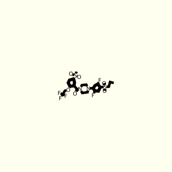 CCCS(=O)(=O)c1cc(F)c(N2CCN(C(=O)c3cc(S(C)(=O)=O)ccc3OCC(F)(F)F)CC2)cc1F